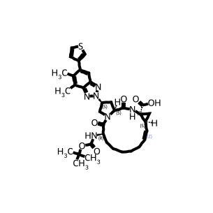 Cc1c(-c2ccsc2)cc2nn([C@H]3C[C@H]4C(=O)N[C@@]5(C(=O)O)C[C@H]5/C=C\CCCCC[C@@H](NC(=O)OC(C)(C)C)C(=O)N4C3)nc2c1C